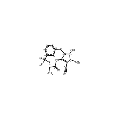 CCC(=O)NC1=C(C#N)C(C)N(S)N1Cc1cccc(C(F)(F)F)c1